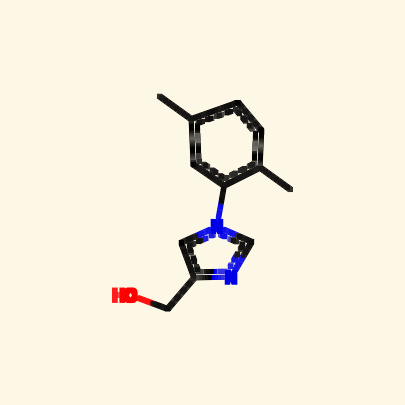 Cc1ccc(C)c(-n2cnc(CO)c2)c1